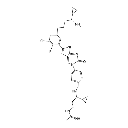 CC(=N)NCC[C@@H](NCc1ccc(-n2cc3cc(-c4cc(CCC[C@@H](N)C5CC5)cc(Cl)c4F)[nH]c3nc2=O)cc1)C1CC1